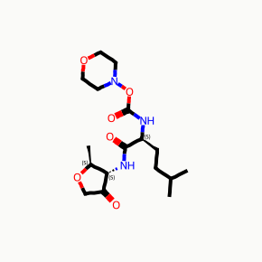 CC(C)CC[C@H](NC(=O)ON1CCOCC1)C(=O)N[C@@H]1C(=O)CO[C@H]1C